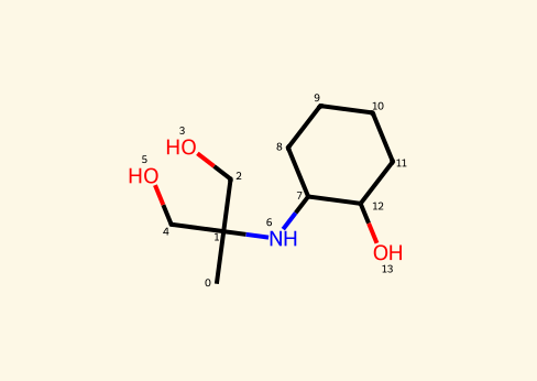 CC(CO)(CO)NC1CCCCC1O